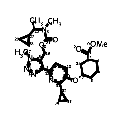 COC(=O)[C@H]1CCC[C@H](Oc2ccc(-c3nnn(C)c3COC(=O)N(C)[C@H](C)C3CC3)nc2C2CC2)C1